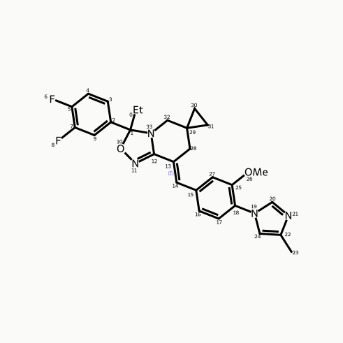 CCC1(c2ccc(F)c(F)c2)ON=C2/C(=C/c3ccc(-n4cnc(C)c4)c(OC)c3)CC3(CC3)CN21